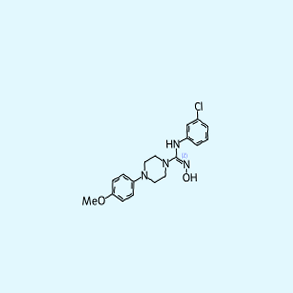 COc1ccc(N2CCN(/C(=N\O)Nc3cccc(Cl)c3)CC2)cc1